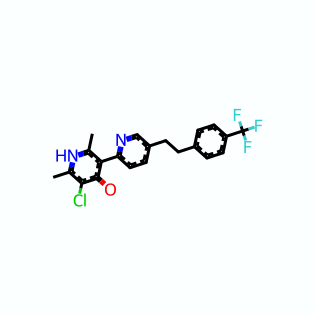 Cc1[nH]c(C)c(-c2ccc(CCc3ccc(C(F)(F)F)cc3)cn2)c(=O)c1Cl